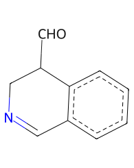 O=CC1CN=Cc2ccccc21